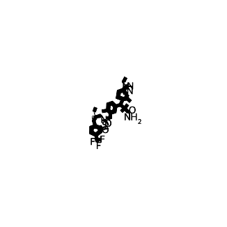 CC[C@H]1Cc2ccc(C(F)(F)F)cc2S(=O)(=O)N(Cc2cc(C(c3ccc4c(nnn4CC)c3C)C(C)(C)C(N)=O)ccc2C)C1